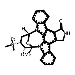 CC[N+](C)(C)[C@@H]1C[C@H]2O[C@@](C)([C@@H]1OC)n1c3ccccc3c3c4c(c5c6ccccc6n2c5c31)C(=O)NC4